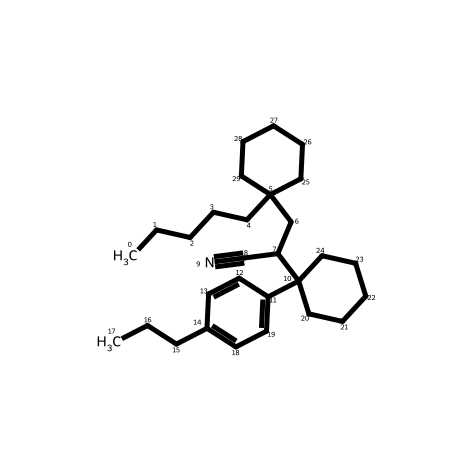 CCCCCC1(CC(C#N)C2(c3ccc(CCC)cc3)CCCCC2)CCCCC1